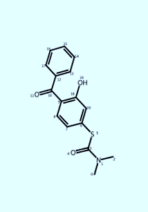 CN(C)C(=O)Sc1ccc(C(=O)c2ccccc2)c(O)c1